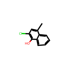 Cc1cc(Cl)c(O)c2ccccc12